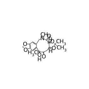 CN1Cc2cc3c(cc2[C@](C)(O)C(=O)C[C@@H]2OC(C)(C)O[C@H]2C1=O)OCO3